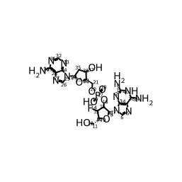 NC1=Nc2c(ncn2[C@@H]2O[C@H](CO)C(F)C2OP(=O)(O)OC[C@H]2O[C@@H](n3cnc4c(N)ncnc43)CC2O)C(N)N1